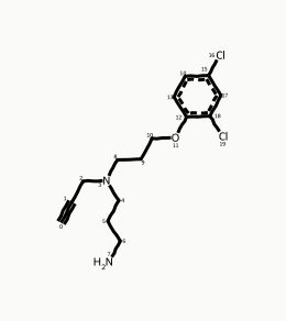 C#CCN(CCCN)CCCOc1ccc(Cl)cc1Cl